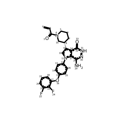 C=CC(=O)N1CCC[C@H](c2cn(-c3ccc(Oc4cccc(F)c4F)cc3)c3c(N)n[nH]c(=O)c23)C1